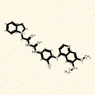 COc1cc2nccc(Oc3ccc(NC(=O)NC(=O)CN4CCc5ccccc54)cc3Cl)c2cc1OC